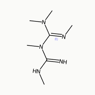 C/N=C(\N(C)C)N(C)C(=N)NC